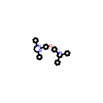 C1=C(c2ccccc2)/N=C(c2ccc(Oc3ccc(-c4cc(-c5ccccc5)cc(-c5ccccc5)n4)cc3)cc2)\N=C(\c2ccccc2)CC\1